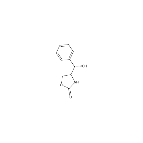 O=C1NC([C@@H](O)c2ccccc2)CO1